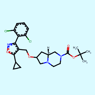 CC(C)(C)OC(=O)N1CCN2CC(OCc3c(-c4c(Cl)cccc4Cl)noc3C3CC3)C[C@@H]2C1